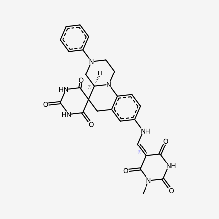 CN1C(=O)NC(=O)/C(=C\Nc2ccc3c(c2)CC2(C(=O)NC(=O)NC2=O)[C@H]2CN(c4ccccc4)CCN32)C1=O